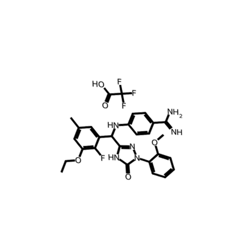 CCOc1cc(C)cc(C(Nc2ccc(C(=N)N)cc2)c2nn(-c3ccccc3OC)c(=O)[nH]2)c1F.O=C(O)C(F)(F)F